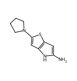 Nc1cc2sc(N3CCCC3)cc2[nH]1